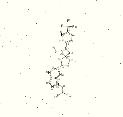 CC[C@@H]1N(c2cnc(C(F)(F)F)nc2)C[C@]12CCN(c1cnc3cnn(CC(F)F)c3n1)C2